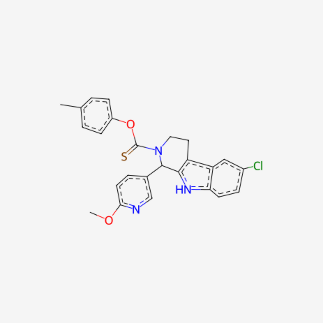 COc1ccc(C2c3[nH]c4ccc(Cl)cc4c3CCN2C(=S)Oc2ccc(C)cc2)cn1